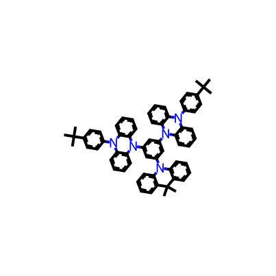 CC(C)(C)c1ccc(N2c3ccccc3N(c3cc(N4c5ccccc5N(c5ccc(C(C)(C)C)cc5)c5ccccc54)cc(N4c5ccccc5C(C)(C)c5ccccc54)c3)c3ccccc32)cc1